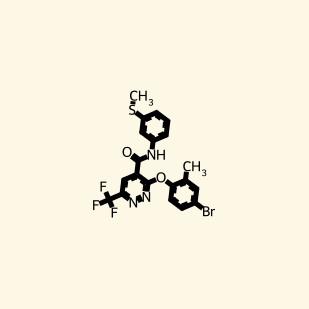 CSc1cccc(NC(=O)c2cc(C(F)(F)F)nnc2Oc2ccc(Br)cc2C)c1